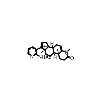 CC(=O)Nc1ncccc1C1=CC[C@H]2[C@@H]3CC=C4N(C)C(=O)CC[C@]4(C)[C@H]3CC[C@]12C